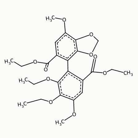 CCOC(=O)c1cc(OC)c(OCC)c(OCC)c1-c1c(C(=O)OCC)cc(OC)c2c1OCO2